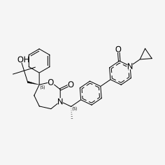 C[C@@H](c1ccc(-c2ccn(C3CC3)c(=O)c2)cc1)N1CCC[C@](CC(C)(C)O)(C2C=CC=CC2)OC1=O